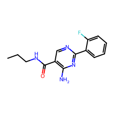 CCCNC(=O)c1cnc(-c2ccccc2F)nc1N